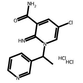 CC(c1cccnc1)n1cc(Cl)cc(C(N)=O)c1=N.Cl.Cl